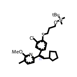 COc1nc(/C(=C/C2CCCC2)c2ccc(SCCCO[Si](C)(C)C(C)(C)C)c(Cl)c2)ccc1C